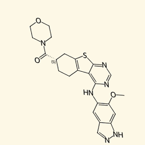 COc1cc2[nH]ncc2cc1Nc1ncnc2sc3c(c12)CC[C@H](C(=O)N1CCOCC1)C3